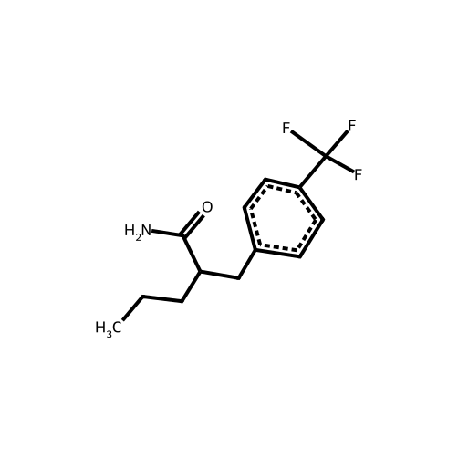 CCCC(Cc1ccc(C(F)(F)F)cc1)C(N)=O